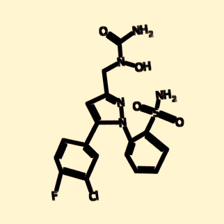 NC(=O)N(O)Cc1cc(-c2ccc(F)c(Cl)c2)n(-c2ccccc2S(N)(=O)=O)n1